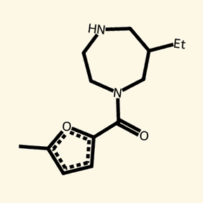 CCC1CNCCN(C(=O)c2ccc(C)o2)C1